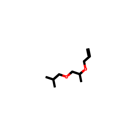 C=CCOC(C)COCC(C)C